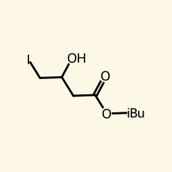 CCC(C)OC(=O)CC(O)CI